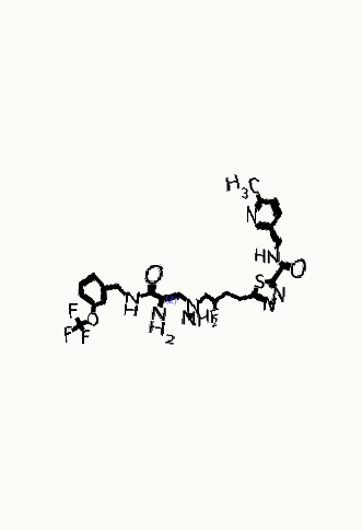 Cc1ccc(CNC(=O)c2nnc(CCC(F)CN(N)/C=C(\N)C(=O)NCc3cccc(OC(F)(F)F)c3)s2)cn1